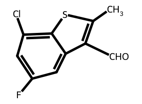 Cc1sc2c(Cl)cc(F)cc2c1C=O